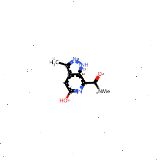 CNC(=O)c1nc(O)cc2c(C)n[nH]c12